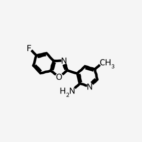 Cc1cnc(N)c(-c2nc3cc(F)ccc3o2)c1